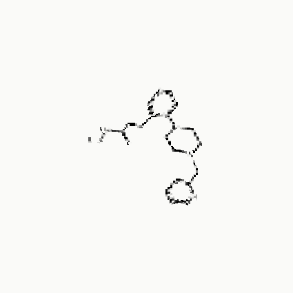 O=C(C=Cc1ccccc1N1CCN(Cc2ccccn2)CC1)NO